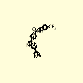 Cn1cc(-c2cnn3c(N4CCN(C(=O)NCc5ccc(C(F)(F)F)cc5)CC4)cnc3c2)cn1